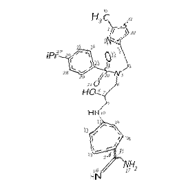 Cc1nc(CN(CC(O)CNc2ccc(C(=N)N)cc2)S(=O)(=O)c2ccc(C(C)C)cc2)cs1